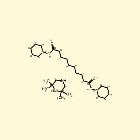 CC1(C)CNCC(C)(C)N1.O=C(CCCCCCCCC(=O)ON1CCCCC1)ON1CCCCC1